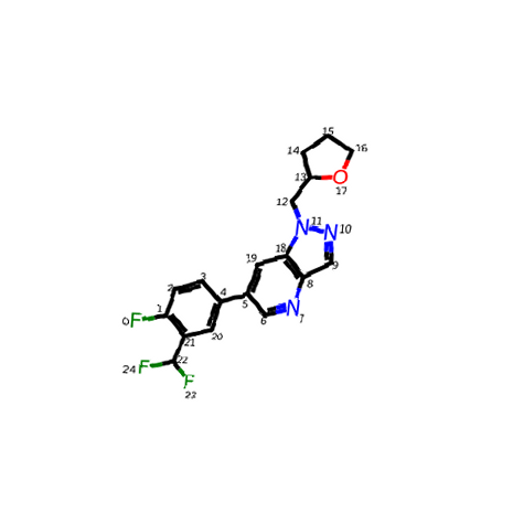 Fc1ccc(-c2cnc3cnn(CC4CCCO4)c3c2)cc1C(F)F